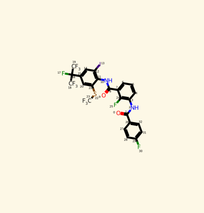 O=C(Nc1cccc(C(=O)Nc2c(I)cc(C(F)(C(F)(F)F)C(F)(F)F)cc2SC(F)(F)F)c1F)c1ccc(F)cc1